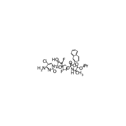 CC(C)OC(=O)[C@H](C)NP(=O)(OC[C@@]1(C(F)F)O[C@@H](n2cc(Cl)c(N)nc2=O)[C@H](O)[C@H]1F)Oc1ccc2ccccc2c1